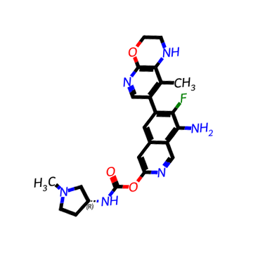 Cc1c(-c2cc3cc(OC(=O)N[C@@H]4CCN(C)C4)ncc3c(N)c2F)cnc2c1NCCO2